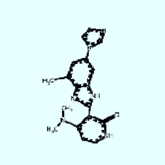 Cc1cc(-n2ccnc2)cc2[nH]c(-c3c(N(C)C)cc[nH]c3=O)nc12